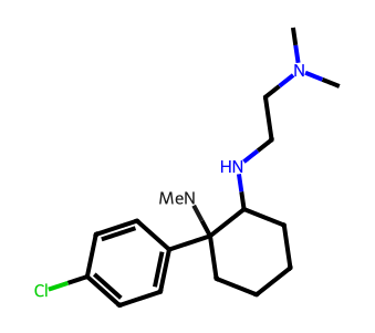 CNC1(c2ccc(Cl)cc2)CCCCC1NCCN(C)C